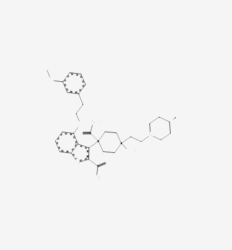 COc1cccc(CCOc2cccc3[nH]c(C(=O)O)c(C4(C(N)=O)CCC(O)(CCN5CC[C@H](O)[C@@H](C)C5)CC4)c23)c1